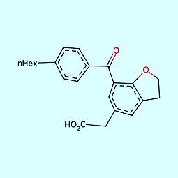 CCCCCCc1ccc(C(=O)c2cc(CC(=O)O)cc3c2OCC3)cc1